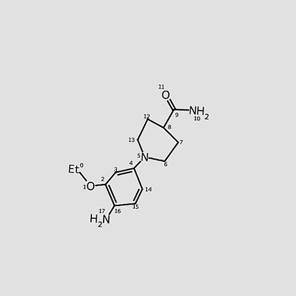 CCOc1cc(N2CCC(C(N)=O)CC2)ccc1N